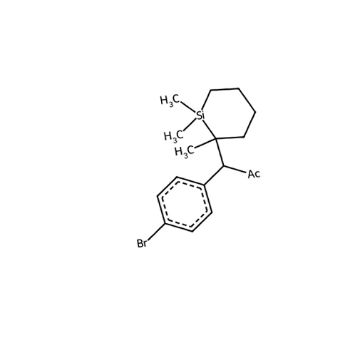 CC(=O)C(c1ccc(Br)cc1)C1(C)CCCC[Si]1(C)C